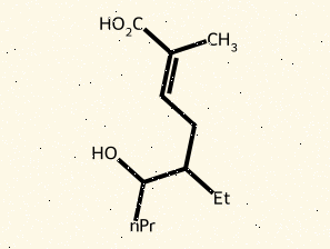 CCCC(O)C(CC)C/C=C(\C)C(=O)O